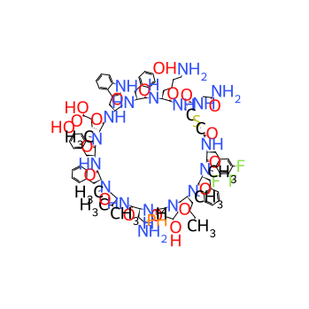 CCCC[C@H]1C(=O)N2C[C@H](O)C[C@@H]2C(=O)N[C@@H](CC(N)=P)C(=O)N[C@@H](C(C)C)C(=O)N(C)[C@@H](Cc2ccccc2)C(=O)N[C@@H](Cc2ccc(O)cc2)C(=O)N(C)[C@H](CCC(=O)O)C(=O)N[C@@H](Cc2c[nH]c3ccccc23)C(=O)N[C@@H](Cc2ccc(O)cc2)C(=O)N[C@@H](CCCCN)C(=O)N[C@H](C(=O)NCC(N)=O)CSCC(=O)N[C@@H](Cc2cc(F)c(F)c(F)c2)C(=O)N(C)[C@@H](Cc2ccccc2)C(=O)N1C